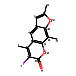 Cc1cc2cc3c(C)c(I)c(=O)oc3c(C)c2o1